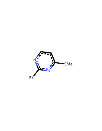 CCc1nccc(SC)n1